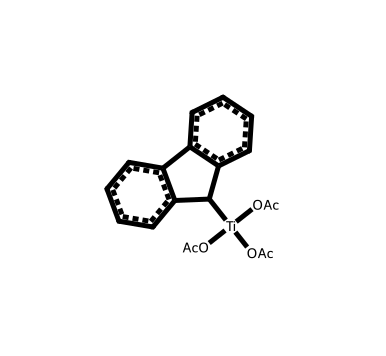 CC(=O)[O][Ti]([O]C(C)=O)([O]C(C)=O)[CH]1c2ccccc2-c2ccccc21